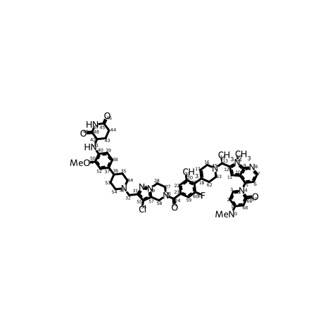 CNc1ccn(-c2ccnc3c2cc([C@H](C)N2CC=C(c4c(C)cc(C(=O)N5CCn6nc(CN7CCC(c8ccc(NC9CCC(=O)NC9=O)c(OC)c8)CC7)c(Cl)c6C5)cc4F)CC2)n3C)c(=O)c1